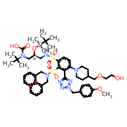 COc1ccc(Cn2nnc(-c3c(N4CCC(COCCO)CC4)ccc(S(=O)(=O)NC[C@@H](CN(C(=O)O)C(C)(C)C)O[Si](C)(C)C(C)(C)C)c3S(=O)(=O)N(Cc3ccccc3)Cc3ccccc3)n2)cc1